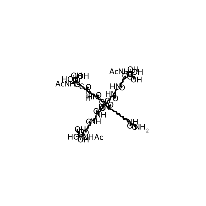 CC(=O)NC1[C@H](OCCCCC(=O)NCCCNC(=O)CCOCC(COCCC(=O)NCCCNC(=O)CCCCO[C@@H]2OC(CO)[C@H](O)[C@H](O)C2NC(C)=O)(COCCC(=O)NCCCNC(=O)CCCCO[C@@H]2OC(CO)[C@H](O)[C@H](O)C2NC(C)=O)NC(=O)CCCCCCCCCCCNC(=O)CON)OC(CO)[C@H](O)[C@@H]1O